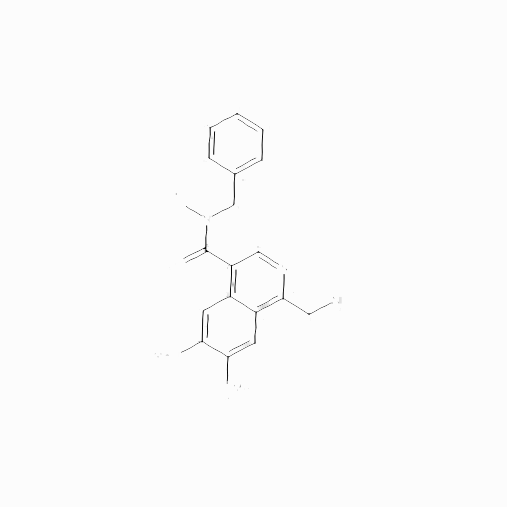 COc1cc2c(C(=O)N(C)Cc3ccccc3)cnc(CN)c2cc1OC